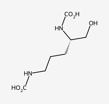 O=C(O)NCCC[C@@H](CO)NC(=O)O